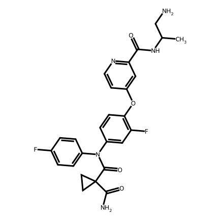 CC(CN)NC(=O)c1cc(Oc2ccc(N(C(=O)C3(C(N)=O)CC3)c3ccc(F)cc3)cc2F)ccn1